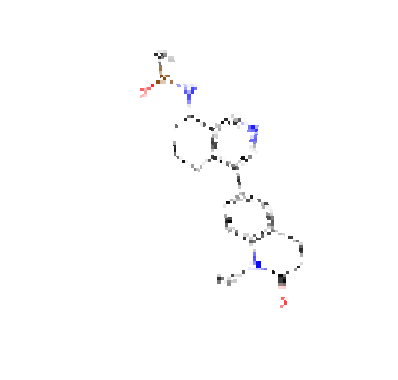 CN1C(=O)CCc2cc(-c3cncc4c3CCCC4N[S+](C)[O-])ccc21